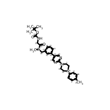 Cc1ccc(N2CCN(c3ncc(-c4cccc(CN(C)C(=O)CNC(=O)OC(C)(C)C)c4)cn3)CC2)cc1